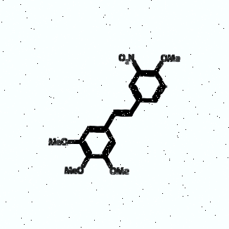 COc1[c]cc(C=Cc2cc(OC)c(OC)c(OC)c2)cc1[N+](=O)[O-]